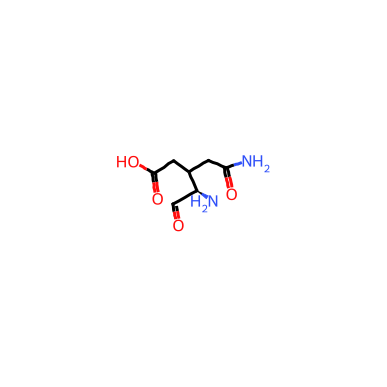 NC(=O)CC(CC(=O)O)[C@@H](N)C=O